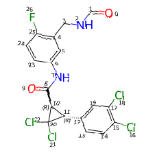 O=CNCc1cc(NC(=O)[C@H]2[C@H](c3ccc(Cl)c(Cl)c3)C2(Cl)Cl)ccc1F